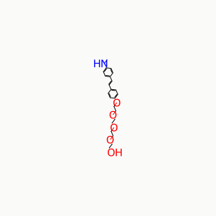 CNc1ccc(C=Cc2ccc(OCCOCCOCCOCCO)cc2)cc1